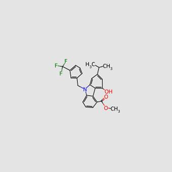 COC(=O)c1cccc2c1c1c(O)cc(C(C)C)cc1n2Cc1cccc(C(F)(F)F)c1